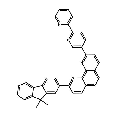 CC1(C)c2ccccc2-c2ccc(-c3ccc4ccc5ccc(-c6ccc(-c7ccccn7)nc6)nc5c4n3)cc21